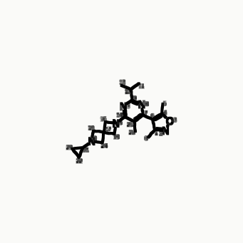 Cc1noc(C)c1-c1nc(C(C)C)nc(N2CC3(C2)CN(C2CC2)C3)c1C